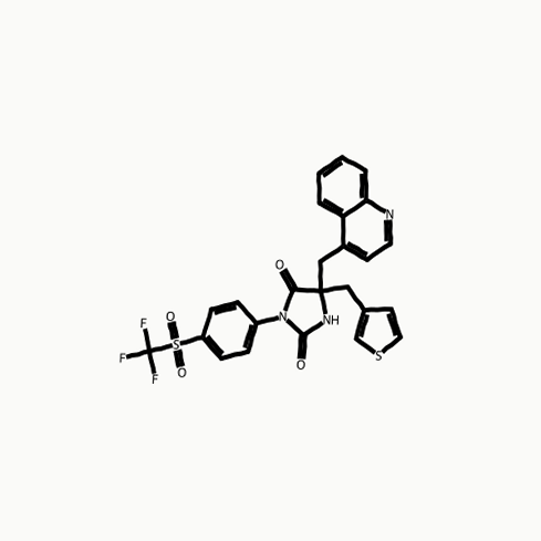 O=C1NC(Cc2ccsc2)(Cc2ccnc3ccccc23)C(=O)N1c1ccc(S(=O)(=O)C(F)(F)F)cc1